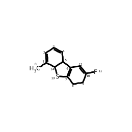 CC1=CC=CC2C3=C(CCC(F)=C3)SC12